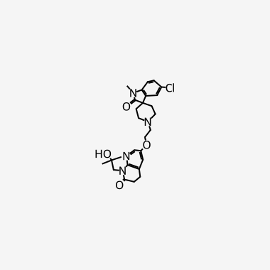 CN1C(=O)C2(CCN(CCOc3cnc4c(c3)CCC(=O)N4CC(C)(C)O)CC2)c2cc(Cl)ccc21